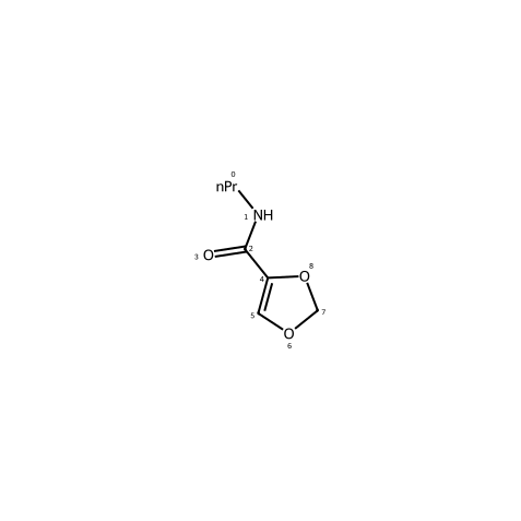 CCCNC(=O)C1=COCO1